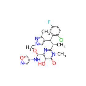 Cc1nn(C)cc1C(c1cc(F)ccc1Cl)C(C)c1nc(C(=O)Nc2cnoc2)c(O)c(=O)n1C